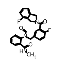 CNC(=O)c1ccccc1N(C=O)Cc1ccc(F)c(C(=O)N2Cc3cccc(F)c3C2)c1